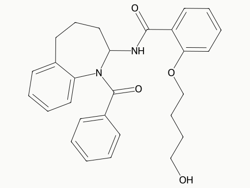 O=C(NC1CCCc2ccccc2N1C(=O)c1ccccc1)c1ccccc1OCCCCO